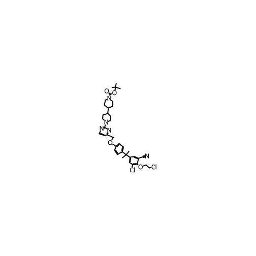 CC(C)(C)OC(=O)N1CCC(C2CCN(c3nccc(COc4ccc(C(C)(C)c5cc(Cl)c(OCCCl)c(C#N)c5)cc4)n3)CC2)CC1